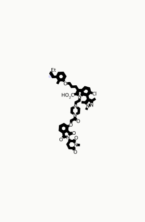 CC/C=C\c1cccc(OCCCc2c(C(=O)O)n(CCN3CCN(C(=O)COc4cccc5c4C(=O)N(C4CCC(=O)N(C)C4=O)C5=O)CC3)c3c(-c4c(C)nn(C)c4C)c(Cl)ccc23)c1C